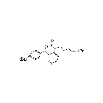 CC(C)CCCC(C)C(P=O)c1ccccc1C(=O)c1ccc(C(C)(C)C)cc1